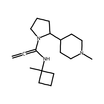 C=C=C(NC1(C)CCC1)N1CCCC1C1CCN(C)CC1